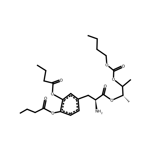 CCCCOC(=O)OC(C)[C@H](C)OC(=O)[C@@H](N)Cc1ccc(OC(=O)CCC)c(OC(=O)CCC)c1